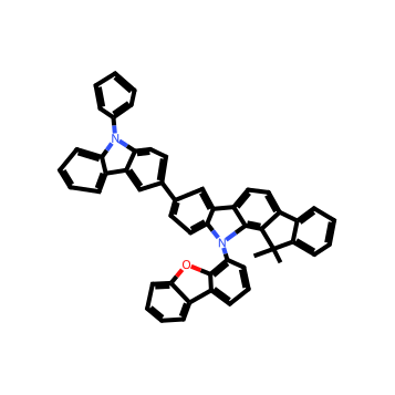 CC1(C)c2ccccc2-c2ccc3c4cc(-c5ccc6c(c5)c5ccccc5n6-c5ccccc5)ccc4n(-c4cccc5c4oc4ccccc45)c3c21